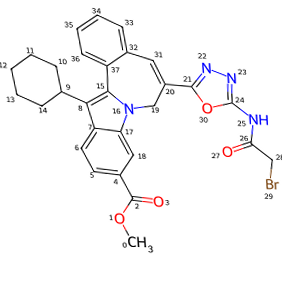 COC(=O)c1ccc2c(C3CCCCC3)c3n(c2c1)CC(c1nnc(NC(=O)CBr)o1)=Cc1ccccc1-3